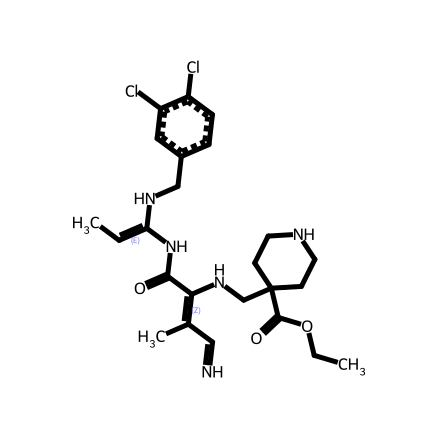 C/C=C(\NCc1ccc(Cl)c(Cl)c1)NC(=O)/C(NCC1(C(=O)OCC)CCNCC1)=C(\C)C=N